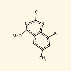 COc1nc(Cl)nc2c(Br)cc(C)cc12